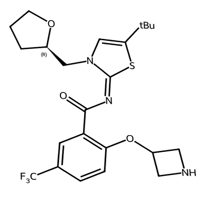 CC(C)(C)c1cn(C[C@H]2CCCO2)c(=NC(=O)c2cc(C(F)(F)F)ccc2OC2CNC2)s1